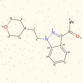 CC(C)C(=O)c1nn(CCC2CCOCC2)c2ccccc12